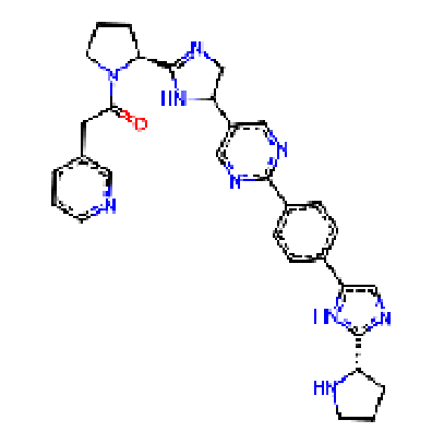 O=C(Cc1cccnc1)N1CCC[C@H]1C1=NCC(c2cnc(-c3ccc(-c4cnc([C@@H]5CCCN5)[nH]4)cc3)nc2)N1